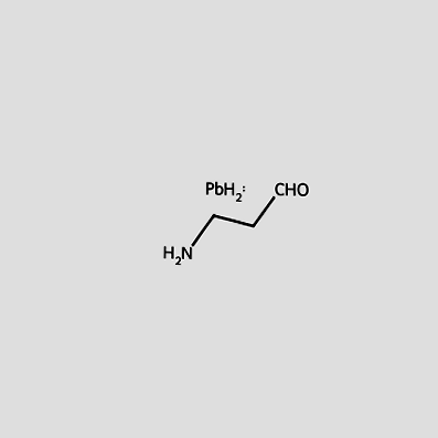 NCCC=O.[PbH2]